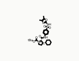 Cc1nc(NS(=O)(=O)c2ccc(NC(=O)[C@@H]3[C@H](C4CCCCC4)CCN3C(=O)OC(C)(C)C)cc2)oc1C